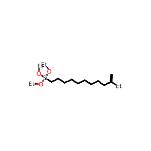 C=C(CC)CCCCCCCCC[Si](OCC)(OCC)OCC